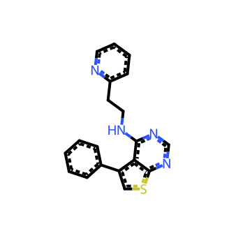 c1ccc(-c2csc3ncnc(NCCc4ccccn4)c23)cc1